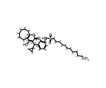 CCCCCCCCCCCCS(=O)(=O)Nc1cccc(C(c2c(O)c3c(oc2=O)CCCCCC3)C2CC2)c1